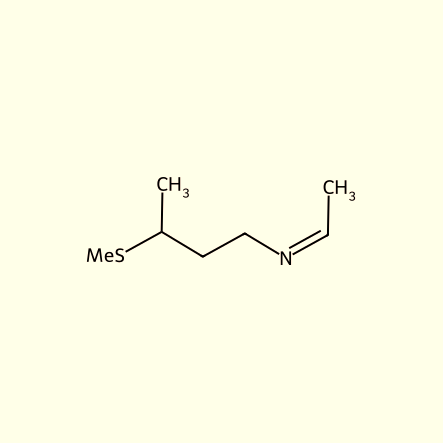 C/C=N\CCC(C)SC